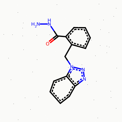 NNC(=O)c1ccccc1Cn1nnc2ccccc21